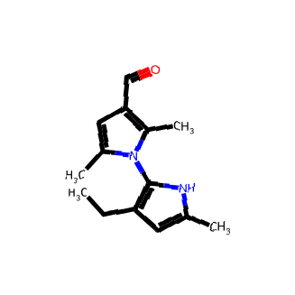 CCc1cc(C)[nH]c1-n1c(C)cc(C=O)c1C